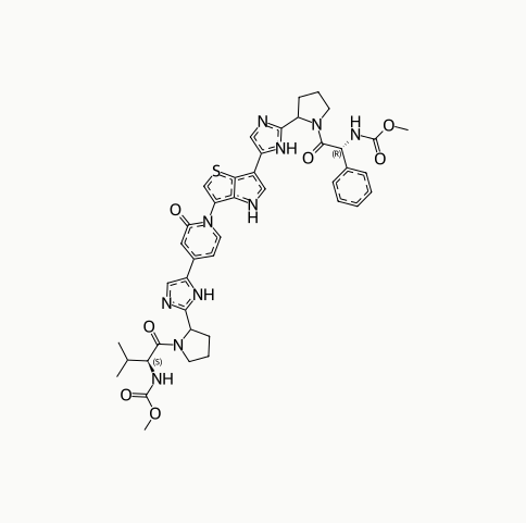 COC(=O)N[C@H](C(=O)N1CCCC1c1ncc(-c2ccn(-c3csc4c(-c5cnc(C6CCCN6C(=O)[C@H](NC(=O)OC)c6ccccc6)[nH]5)c[nH]c34)c(=O)c2)[nH]1)C(C)C